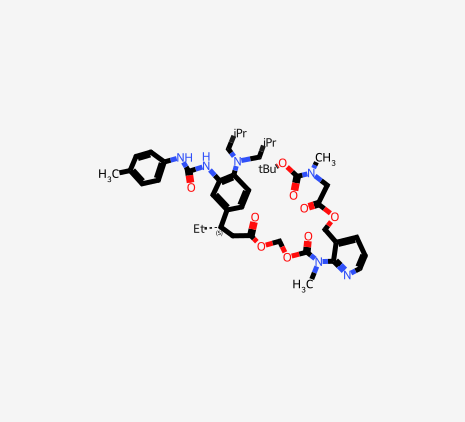 CC[C@@H](CC(=O)OCOC(=O)N(C)c1ncccc1COC(=O)CN(C)C(=O)OC(C)(C)C)c1ccc(N(CC(C)C)CC(C)C)c(NC(=O)Nc2ccc(C)cc2)c1